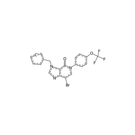 O=c1c2c(ncn2Cc2ccccc2)c(Br)cn1-c1ccc(OC(F)(F)F)cc1